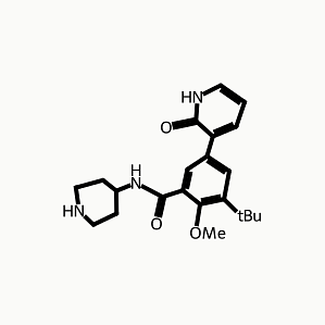 COc1c(C(=O)NC2CCNCC2)cc(-c2ccc[nH]c2=O)cc1C(C)(C)C